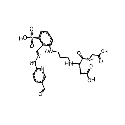 O=Cc1ccc(NN=Cc2c(NCCCN[C@H](CC(=O)O)C(=O)NCC(=O)O)cccc2S(=O)(=O)O)nc1